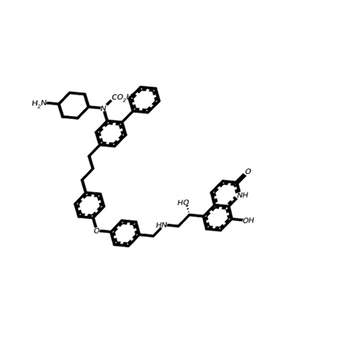 NC1CCC(N(C(=O)O)c2cc(CCCc3ccc(Oc4ccc(CNC[C@H](O)c5ccc(O)c6[nH]c(=O)ccc56)cc4)cc3)ccc2-c2ccccc2)CC1